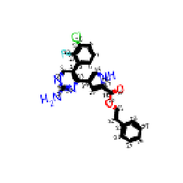 Nc1ncc(-c2cccc(Cl)c2F)c(-c2c[nH]c(C(=O)OCCc3ccccc3)c2)n1